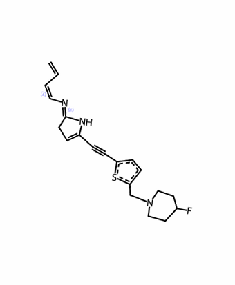 C=C/C=C\N=C1/CC=C(C#Cc2ccc(CN3CCC(F)CC3)s2)N1